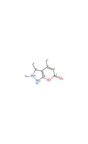 Cc1cc(=O)oc2c1C(C)N(C)N2